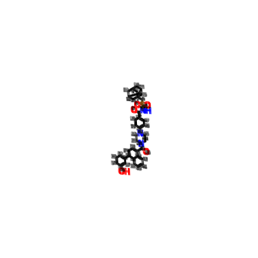 O=C(NS(=O)(=O)CC12CC3CC(CC(C3)C1)C2)c1ccc(N2CCN(C(=O)c3ccc(-c4cccc(O)c4)c4ccccc34)CC2)cc1